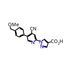 COCc1ccc(-c2cnc(-n3cc(C(=O)O)cn3)cc2C#N)cc1